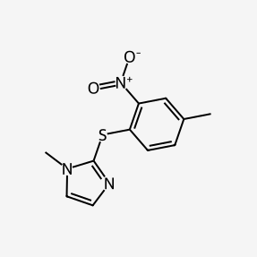 Cc1ccc(Sc2nccn2C)c([N+](=O)[O-])c1